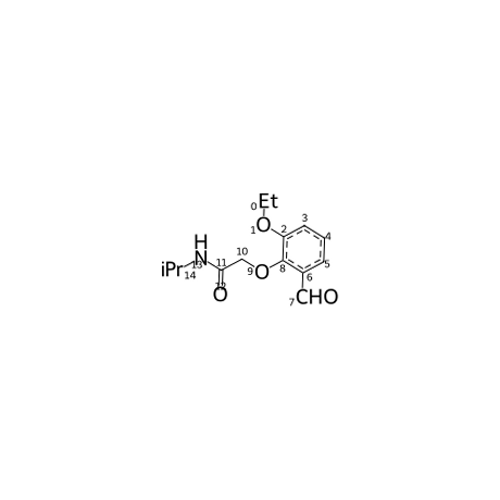 CCOc1cccc(C=O)c1OCC(=O)NC(C)C